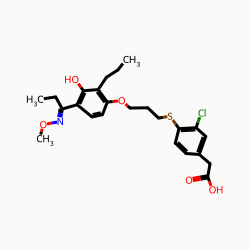 CCCc1c(OCCCSc2ccc(CC(=O)O)cc2Cl)ccc(C(CC)=NOC)c1O